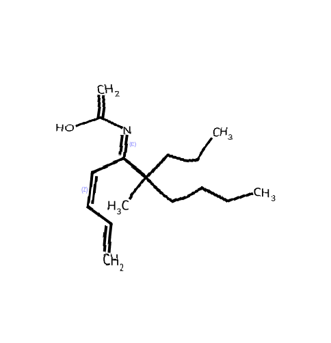 C=C/C=C\C(=N/C(=C)O)C(C)(CCC)CCCC